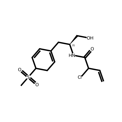 C=CC(Cl)C(=O)N[C@H](CO)CC1=CCC(S(C)(=O)=O)C=C1